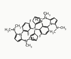 CN(C)c1ccc(N(C)C)n1-c1ccc(F)[c]([Ti]([C]2=CC=CC2)([C]2=CC=CC2)[c]2c(F)ccc(-n3c(N(C)C)ccc3N(C)C)c2F)c1F